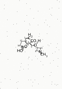 C=CC1=C(/C(=C/OC2CN(C)C2)C(=O)O)OB(O)CC1